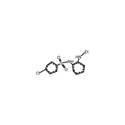 CCNc1ccccc1NS(=O)(=O)c1ccc(Cl)cc1